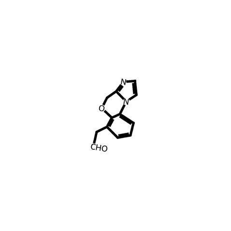 O=CCc1cccc2c1OCc1nccn1-2